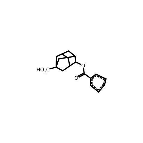 O=C(OC1C2CC3CC1CC(C(=O)O)(C3)C2)c1ccccc1